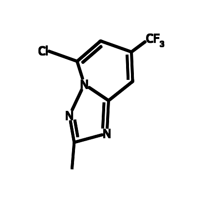 Cc1nc2cc(C(F)(F)F)cc(Cl)n2n1